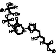 CCCCN(OS(=O)(=O)ON1C(=O)N2C[C@@H]1CC[C@H]2c1nnc(CC(O)CNC(=O)OC(C)(C)C)o1)C(CCC)(CCCC)CCCC